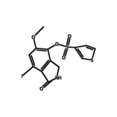 COc1cc(I)c2c(c1OS(=O)(=O)c1ccsc1)CNC2=O